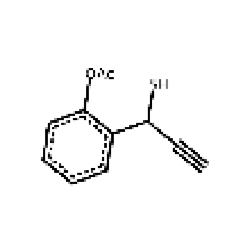 C#CC(S)c1ccccc1OC(C)=O